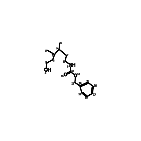 CC(CCO)C(C)CCNC(=O)OCc1ccccc1